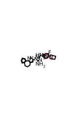 Nc1nc(Nc2ccc(N3C4CCC3CC(N3CCCC3)C4)c(F)c2)nn1-c1cc2c(nn1)-c1ccccc1CCC2